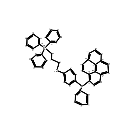 c1ccc(P(c2ccc(OCCC[PH](c3ccccc3)(c3ccccc3)c3ccccc3)cc2)c2ccc3ccc4cccc5ccc2c3c45)cc1